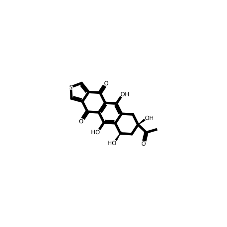 CC(=O)[C@@]1(O)Cc2c(O)c3c(c(O)c2[C@H](O)C1)C(=O)c1cscc1C3=O